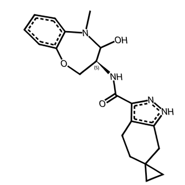 CN1c2ccccc2OC[C@H](NC(=O)c2n[nH]c3c2CCC2(CC2)C3)C1O